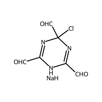 O=CC1=NC(Cl)(C=O)N=C(C=O)N1.[NaH]